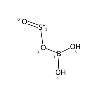 O=[S+]OB(O)O